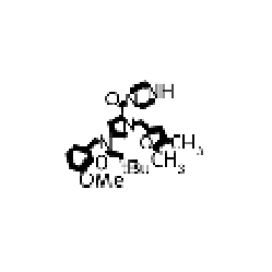 COc1cccc(CN(C(=O)CC(C)(C)C)[C@H]2C[C@@H](C(=O)N3CCNCC3)N(Cc3cc(C)c(C)o3)C2)c1